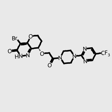 O=C(CO[C@H]1CCOc2c1n[nH]c(=O)c2Br)N1CCN(c2ncc(C(F)(F)F)cn2)CC1